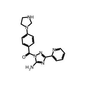 Nc1nc(-c2ccccn2)nn1C(=O)c1ccc(N2CCNC2)cc1